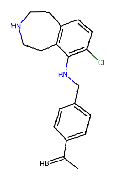 B=C(C)c1ccc(CNc2c(Cl)ccc3c2CCNCC3)cc1